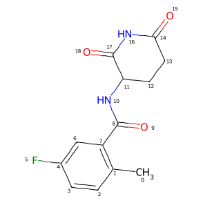 Cc1ccc(F)cc1C(=O)NC1CCC(=O)NC1=O